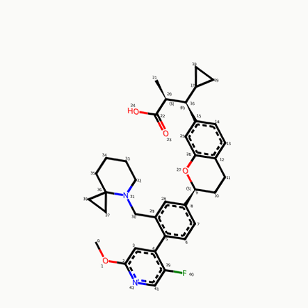 COc1cc(-c2ccc([C@@H]3CCc4ccc([C@H](C5CC5)[C@H](C)C(=O)O)cc4O3)cc2CN2CCCCC23CC3)c(F)cn1